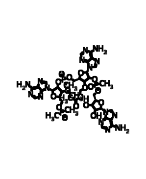 COC1C(OP(C)(=O)OC[C@H]2O[C@@H](n3cnc4c(N)ncnc43)C(OP(C)(=O)OC[C@H]3O[C@@H](n4cnc5c(N)ncnc54)C(O)C3O)C2OCOC(C)=O)[C@H](n2cnc3c(N)ncnc32)O[C@@H]1COP(C)(C)=O